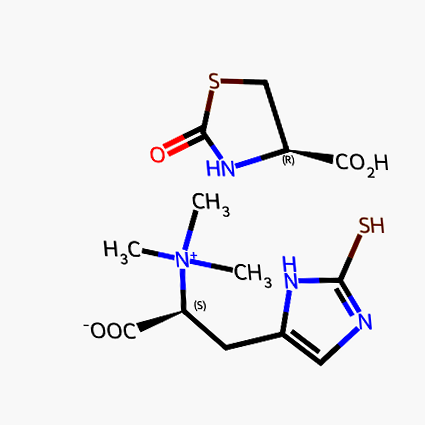 C[N+](C)(C)[C@@H](Cc1cnc(S)[nH]1)C(=O)[O-].O=C1N[C@H](C(=O)O)CS1